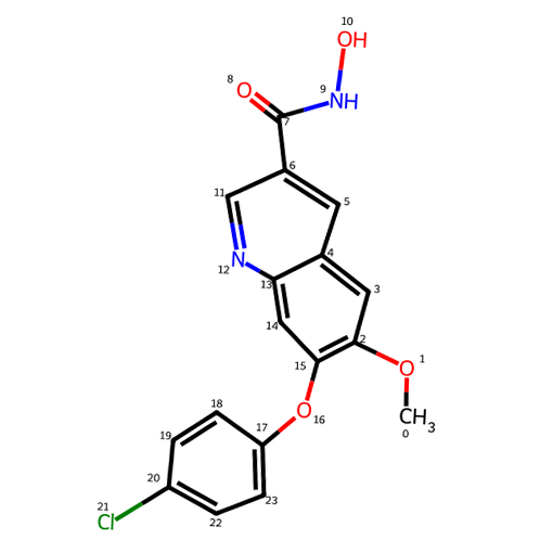 COc1cc2cc(C(=O)NO)cnc2cc1Oc1ccc(Cl)cc1